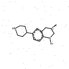 CC(=O)N1C[C@H](C)Cc2cc(C3CCNCC3)ccc21